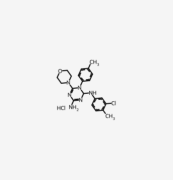 Cc1ccc(N2C(N3CCOCC3)=NC(N)=NC2Nc2ccc(C)c(Cl)c2)cc1.Cl